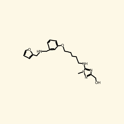 Cn1nc(CO)nc1NCCCCCOc1cccc(CNCc2ccco2)c1